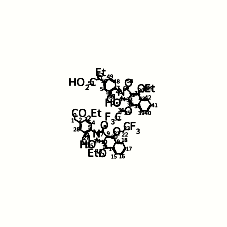 CCOC(=O)Cc1ccc(N2C(=O)c3c(c(OCC)c4ccccc4c3OCC(F)(F)F)C2O)c(Cl)c1.CCOc1c2c(c(OCC(F)(F)F)c3ccccc13)C(O)N(c1ccc(C(CC)C(=O)O)cc1Cl)C2=O